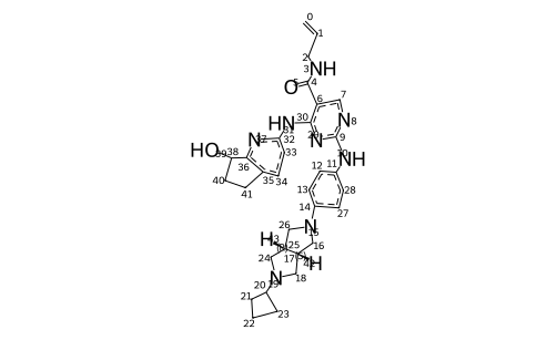 C=CCNC(=O)c1cnc(Nc2ccc(N3C[C@@H]4CN(C5CCC5)C[C@@H]4C3)cc2)nc1Nc1ccc2c(n1)C(O)CC2